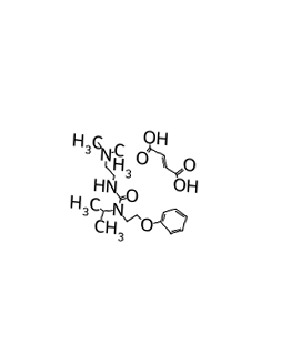 CC(C)N(CCOc1ccccc1)C(=O)NCCN(C)C.O=C(O)/C=C/C(=O)O